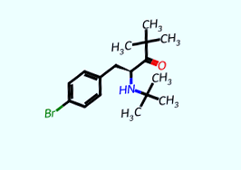 CC(C)(C)N[C@@H](Cc1ccc(Br)cc1)C(=O)C(C)(C)C